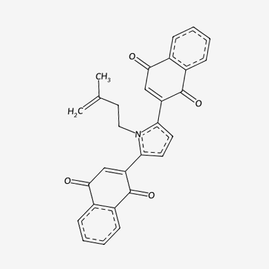 C=C(C)CCn1c(C2=CC(=O)c3ccccc3C2=O)ccc1C1=CC(=O)c2ccccc2C1=O